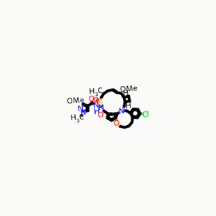 COc1nn(C)cc1C(=O)NS1(=O)=NC(=O)c2ccc3c(c2)N(Cc2ccc(Cl)cc2CCCCO3)C[C@@H]2CC[C@H]2[C@@H](OC)/C=C/C[C@H](C)C1